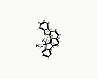 CC1(C)c2ccccc2-c2ccc3ccc4c5ccccc5sc4c3c21